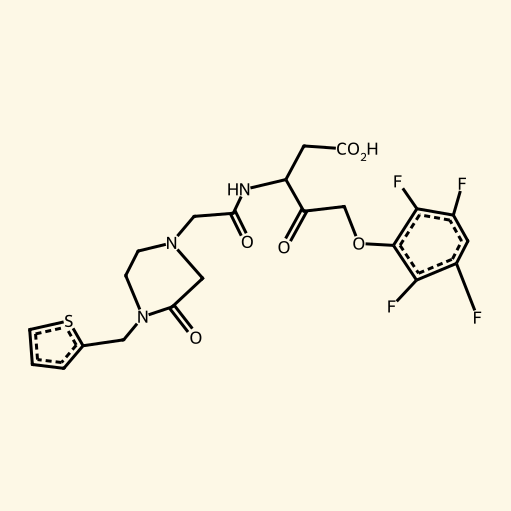 O=C(O)CC(NC(=O)CN1CCN(Cc2cccs2)C(=O)C1)C(=O)COc1c(F)c(F)cc(F)c1F